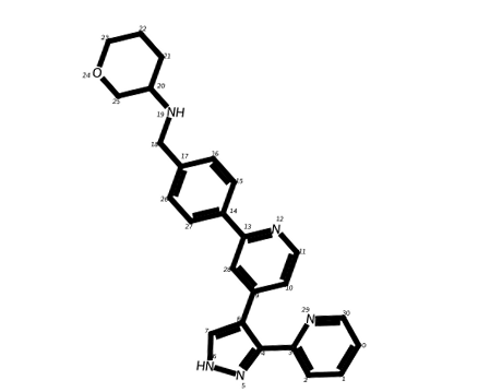 c1ccc(-c2n[nH]cc2-c2ccnc(-c3ccc(CNC4CCCOC4)cc3)c2)nc1